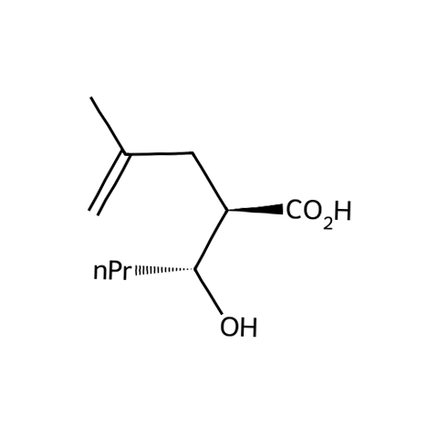 C=C(C)C[C@@H](C(=O)O)[C@H](O)CCC